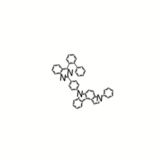 c1ccc(-c2ccccc2-c2nc(-c3ccc(-n4c5ccccc5c5c6ccn(-c7ccccc7)c6ccc54)cc3)nc3ccccc23)cc1